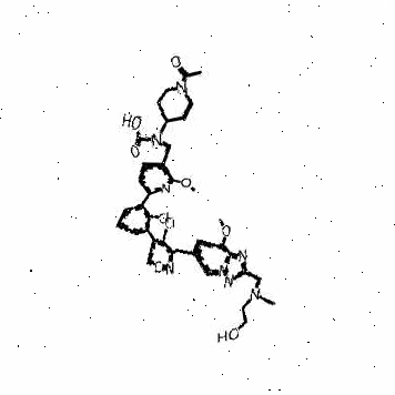 COc1nc(-c2cccc(-c3ccnc(-c4cc(OC)c5nc(CN(C)CCO)nn5c4)c3Cl)c2Cl)ccc1CN(C(=O)O)C1CCN(C(C)=O)CC1